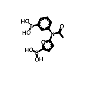 CC(=O)N(c1cccc(B(O)O)c1)c1ccc(B(O)O)o1